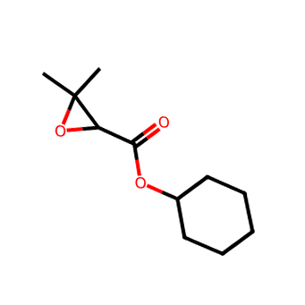 CC1(C)OC1C(=O)OC1CCCCC1